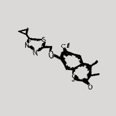 Cc1c(C)c2cc(Cl)c(OCc3nnc(C4CC4)s3)cc2sc1=O